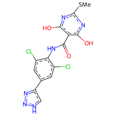 CSc1nc(O)c(C(=O)Nc2c(Cl)cc(-c3c[nH]nn3)cc2Cl)c(O)n1